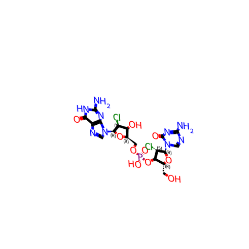 Nc1ncn([C@@H]2O[C@H](CO)C(OP(=O)(O)OC[C@H]3O[C@@H](n4cnc5c(=O)[nH]c(N)nc54)[C@@H](Cl)C3O)[C@@H]2Cl)c(=O)n1